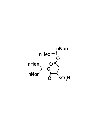 CCCCCCCCCC(CCCCCC)OC(=O)CC(C(=O)OC(CCCCCC)CCCCCCCCC)S(=O)(=O)O